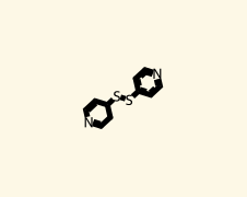 C1=CC(SSc2ccncc2)CC=N1